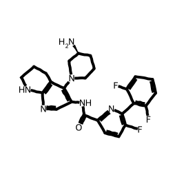 N[C@H]1CCCN(c2c(NC(=O)c3ccc(F)c(-c4c(F)cccc4F)n3)cnc3c2CCCN3)C1